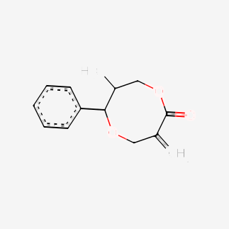 C=C1COC(c2ccccc2)C(C)COC1=O